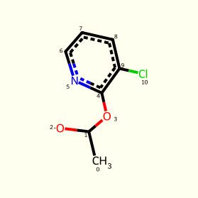 CC([O])Oc1ncccc1Cl